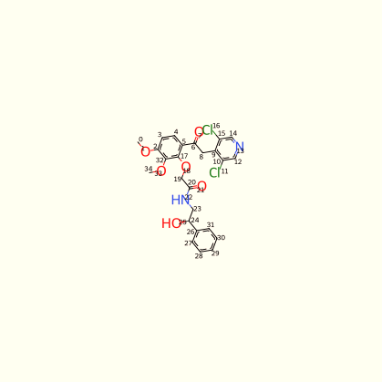 COc1ccc(C(=O)Cc2c(Cl)cncc2Cl)c(OCC(=O)NC[C@H](O)c2ccccc2)c1OC